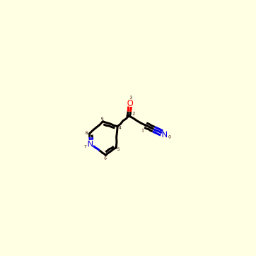 N#CC(=O)c1ccncc1